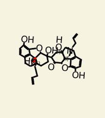 C=CCN1CC[C@]23c4c5ccc(O)c4OC2C(=O)C(C2(O)CC[C@@]4(O)C6Cc7ccc(O)c8c7[C@@]4(CCN6CC=C)C2O8)C[C@@]3(O)C1C5